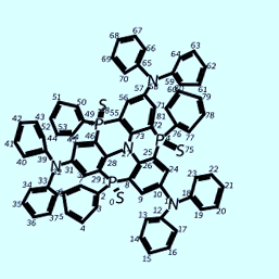 S=P1(c2ccccc2)c2cc(N(c3ccccc3)c3ccccc3)cc3c2N2c4c1cc(N(c1ccccc1)c1ccccc1)cc4P(=S)(c1ccccc1)c1cc(N(c4ccccc4)c4ccccc4)cc(c12)P3(=S)c1ccccc1